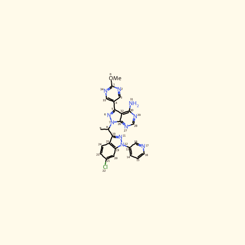 COc1ncc(-c2nn(C(C)c3nn(-c4cccnc4)c4cc(Cl)ccc34)c3ncnc(N)c23)cn1